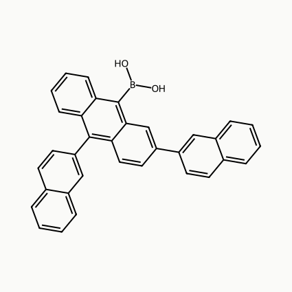 OB(O)c1c2ccccc2c(-c2ccc3ccccc3c2)c2ccc(-c3ccc4ccccc4c3)cc12